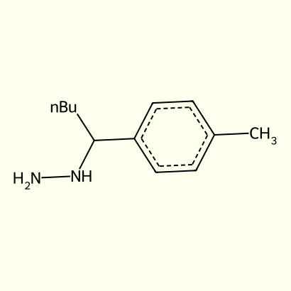 CCCCC(NN)c1ccc(C)cc1